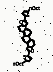 CCCCCCCCc1ccc(-c2cc3c(ccc4c3ccc3c5ccc6oc(-c7ccc(CCCCCCCC)s7)cc6c5ccc43)o2)s1